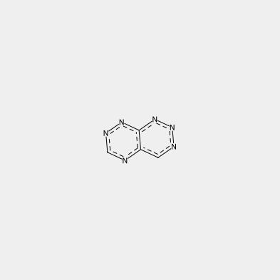 c1nnc2nnncc2n1